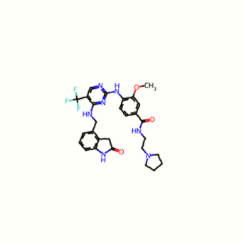 COc1cc(C(=O)NCCN2CCCC2)ccc1Nc1ncc(C(F)(F)F)c(NCc2cccc3c2CC(=O)N3)n1